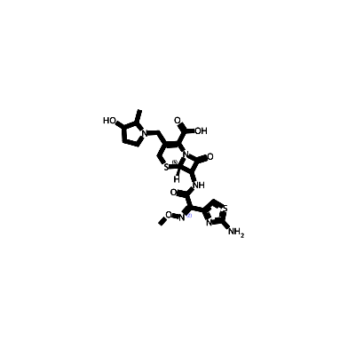 CO/N=C(\C(=O)NC1C(=O)N2C(C(=O)O)=C(CN3CCC(O)C3C)CS[C@@H]12)c1csc(N)n1